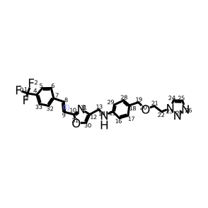 FC(F)(F)c1ccc(/C=C/c2nc(CNc3ccc(COCCn4ccnn4)cc3)co2)cc1